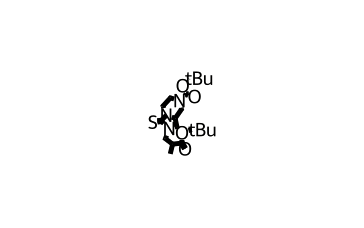 CC(CN1CC2CN(C(=O)OC(C)(C)C)CCN2C1=S)C(=O)OC(C)(C)C